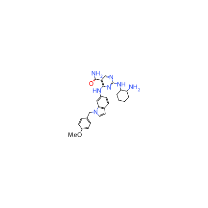 COc1ccc(Cn2ccc3ccc(Nc4nc(NC5CCCCC5N)ncc4C(N)=O)cc32)cc1